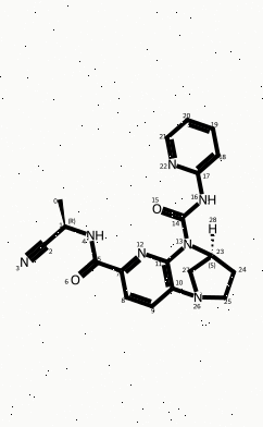 C[C@H](C#N)NC(=O)c1ccc2c(n1)N(C(=O)Nc1ccccn1)[C@H]1CCN2C1